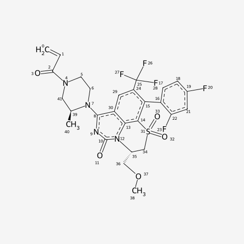 C=CC(=O)N1CCN(c2nc(=O)n3c4c(c(-c5ccc(F)cc5F)c(C(F)(F)F)cc24)S(=O)(=O)C[C@@H]3COC)[C@@H](C)C1